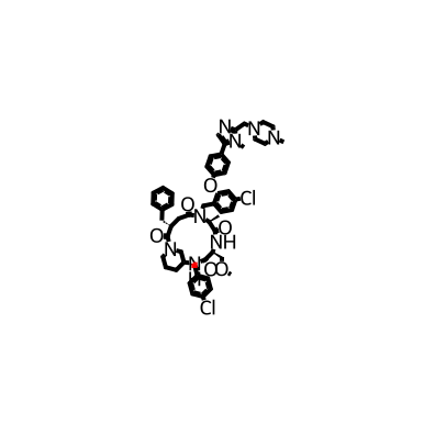 COC[C@@H]1NC(=O)[C@H](C)N(Cc2ccc(Cl)cc2Oc2ccc(-c3cnc(CN4CCN(C)CC4)n3C)cc2)C(=O)C[C@@H](Cc2ccccc2)C(=O)N2CCC[C@@](Cc3ccc(Cl)cc3)(C2)NC1=O